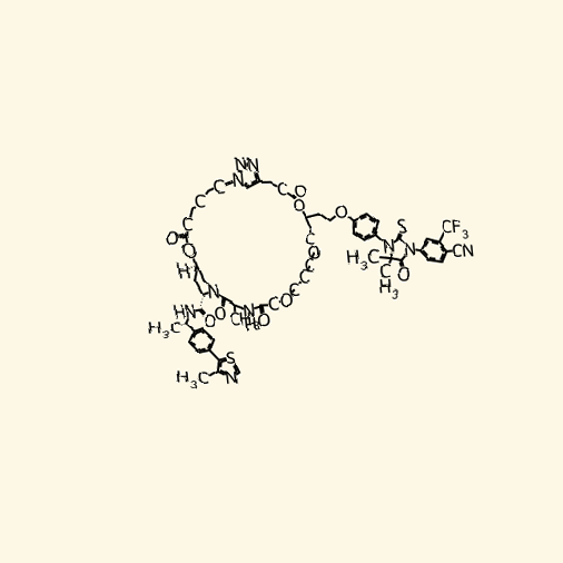 Cc1ncsc1-c1ccc([C@H](C)NC(=O)[C@@H]2C[C@@H]3CN2C(=O)C(C)NC(=O)COCCCOCCC(CCOc2ccc(N4C(=S)N(c5ccc(C#N)c(C(F)(F)F)c5)C(=O)C4(C)C)cc2)OC(=O)CCc2cn(nn2)CCCCCC(=O)O3)cc1